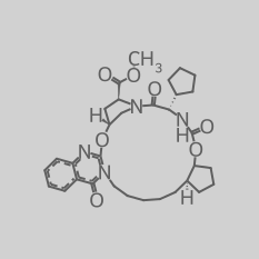 COC(=O)[C@@H]1C[C@@H]2CN1C(=O)[C@H](C1CCCC1)NC(=O)OC1CCC[C@H]1CCCCCn1c(nc3ccccc3c1=O)O2